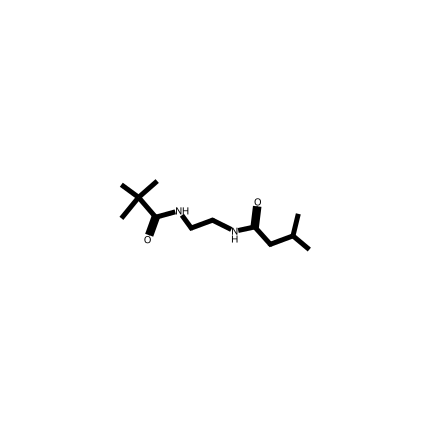 CC(C)CC(=O)NCCNC(=O)C(C)(C)C